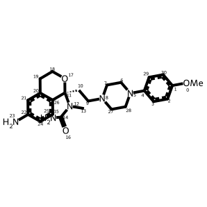 COc1ccc(N2CCN(CC[C@@]3(N(C)C(N)=O)OCCc4cc(N)ccc43)CC2)cc1